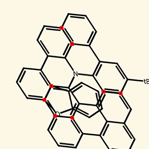 CC(C)(C)c1ccc(N(c2ccccc2-c2cccc3cccc(-c4ccccc4)c23)c2ccccc2-c2cccc3oc4ccccc4c23)c(-c2ccccc2)c1